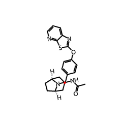 CC(=O)NC1C[C@H]2CC[C@@H](C1)N2Cc1ccc(Oc2nc3cccnc3s2)cc1